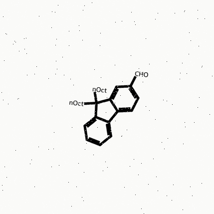 CCCCCCCCC1(CCCCCCCC)c2ccccc2-c2ccc(C=O)cc21